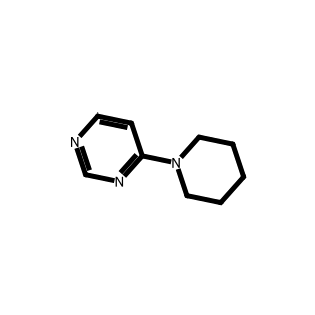 [c]1cc(N2CCCCC2)ncn1